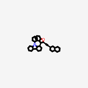 C(#Cc1oc2ccccc2c1-c1cccc2c3ccccc3n(-c3ccccc3)c12)c1ccc2ccccc2c1